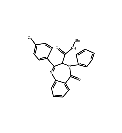 CC(C)(C)NC(=O)C1C(c2ccc(Cl)cc2)=Nc2ccccc2C(=O)N1c1ccccc1